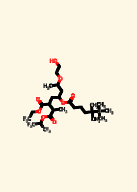 CC(CC(CC(C(=O)OCC(F)(F)F)C(C)C(=O)OC(C(F)(F)F)C(F)(F)F)OC(=O)CCCC(C)(C)[Si](C)(C)C)OCCO